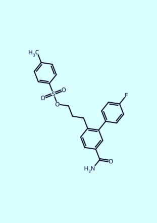 Cc1ccc(S(=O)(=O)OCCCc2ccc(C(N)=O)cc2-c2ccc(F)cc2)cc1